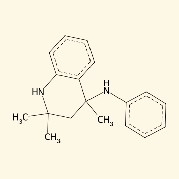 CC1(C)CC(C)(Nc2ccccc2)c2ccccc2N1